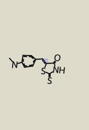 CN(C)c1ccc(/C=C2\SC(=S)NC2=O)cc1